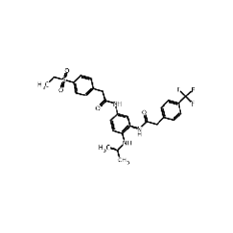 CCS(=O)(=O)c1ccc(CC(=O)Nc2ccc(NC(C)C)c(NC(=O)Cc3ccc(C(F)(F)F)cc3)c2)cc1